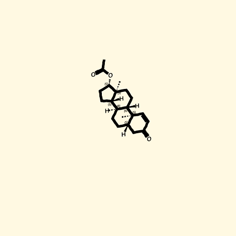 CC(=O)O[C@H]1CC[C@H]2[C@@H]3CC[C@H]4CC(=O)C=C[C@]4(C)[C@H]3CC[C@]12C